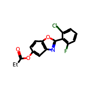 CCC(=O)Oc1ccc2oc(-c3c(F)cccc3Cl)nc2c1